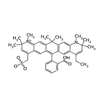 CCC1=CC(C)(C)N(C)c2cc3c(cc21)C(c1ccccc1C(=O)O)=c1cc2c(cc1C3(C)C)=[N+](C)C(C)(C)C=C2CS(=O)(=O)[O-]